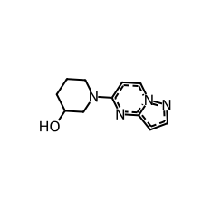 OC1CCCN(c2ccn3nccc3n2)C1